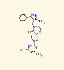 Cc1cc(C)nc(N2CCC3(CC2)OCCN(Cc2c(-c4ccccc4)nnn2C)C3=O)n1